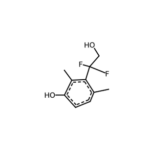 Cc1ccc(O)c(C)c1C(F)(F)CO